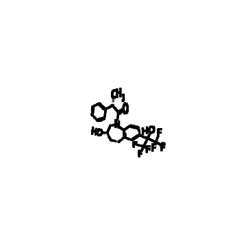 C[C@H](C(=O)N1C[C@H](O)CCc2cc(C(O)(C(F)(F)F)C(F)(F)F)ccc21)c1ccccc1